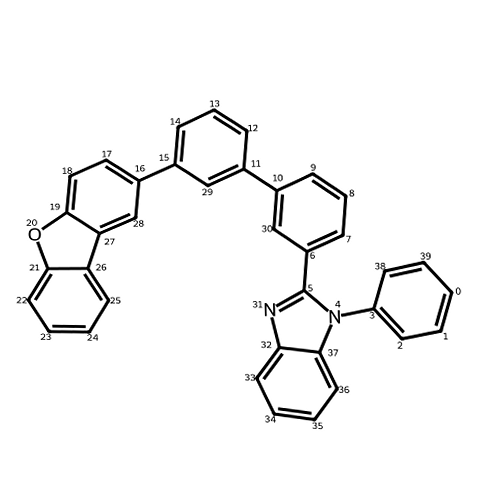 c1ccc(-n2c(-c3cccc(-c4cccc(-c5ccc6oc7ccccc7c6c5)c4)c3)nc3ccccc32)cc1